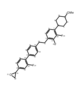 COC1CCC(c2ccc(CCc3ccc(-c4ccc(C5CO5)cc4F)cc3)c(F)c2F)CC1